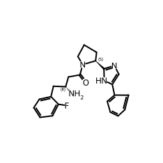 N[C@@H](CC(=O)N1CCC[C@H]1c1ncc(-c2ccccc2)[nH]1)Cc1ccccc1F